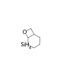 C1CCC2OCC2C1.[SiH4]